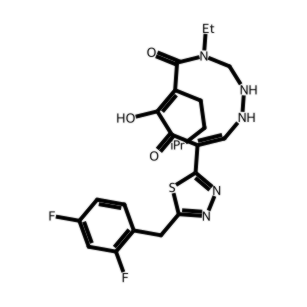 CCN1CNN/C=C(/c2nnc(Cc3ccc(F)cc3F)s2)C(=O)/C(O)=C(\CCC(C)C)C1=O